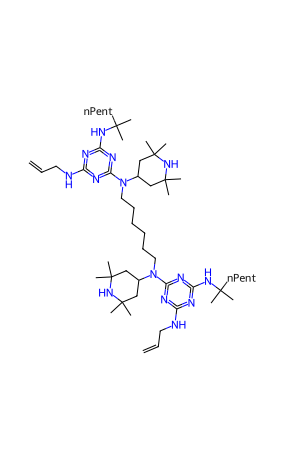 C=CCNc1nc(NC(C)(C)CCCCC)nc(N(CCCCCCN(c2nc(NCC=C)nc(NC(C)(C)CCCCC)n2)C2CC(C)(C)NC(C)(C)C2)C2CC(C)(C)NC(C)(C)C2)n1